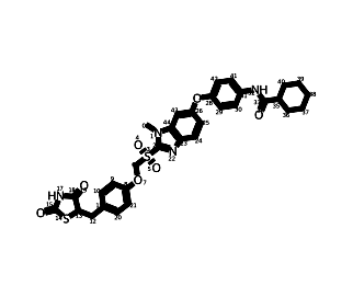 Cn1c(S(=O)(=O)COc2ccc(CC3SC(=O)NC3=O)cc2)nc2ccc(Oc3ccc(NC(=O)C4CCCCC4)cc3)cc21